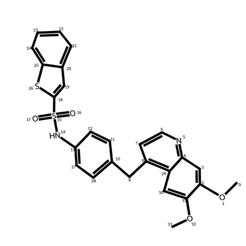 COc1cc2nccc(Cc3ccc(NS(=O)(=O)c4cc5ccccc5s4)cc3)c2cc1OC